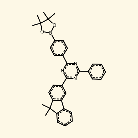 CC1(C)c2ccccc2-c2cc(-c3nc(-c4ccccc4)nc(-c4ccc(B5OC(C)(C)C(C)(C)O5)cc4)n3)ccc21